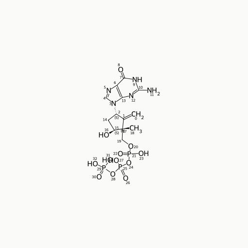 C=C1[C@@H](n2cnc3c(=O)[nH]c(N)nc32)C[C@H](O)[C@@]1(C)COP(=O)(O)OP(=O)(O)OP(=O)(O)O